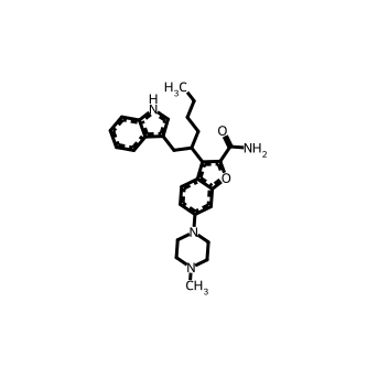 CCCCC(Cc1c[nH]c2ccccc12)c1c(C(N)=O)oc2cc(N3CCN(C)CC3)ccc12